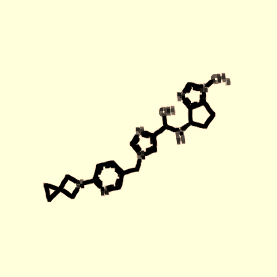 Cn1cnc2c1CC[C@H]2NC(O)c1cn(Cc2ccc(N3CC4(CC4)C3)nc2)cn1